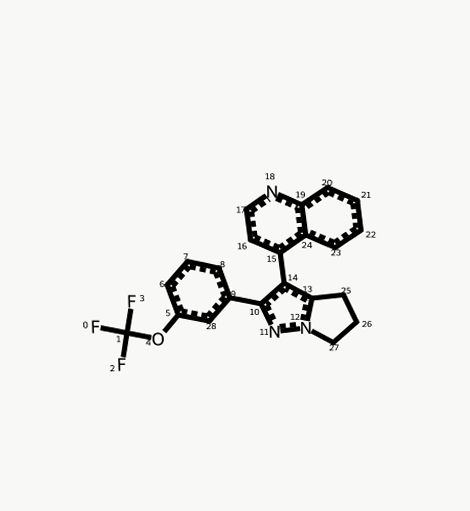 FC(F)(F)Oc1cccc(-c2nn3c(c2-c2ccnc4ccccc24)CCC3)c1